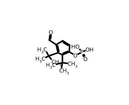 CC(C)(C)c1c(C=O)ccc(OP(=O)(O)O)c1C(C)(C)C